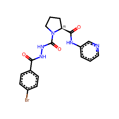 O=C(NNC(=O)N1CCC[C@H]1C(=O)Nc1cccnc1)c1ccc(Br)cc1